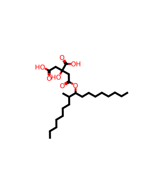 CCCCCCCCC(OC(=O)CC(O)(CC(=O)O)C(=O)O)C(C)CCCCCCC